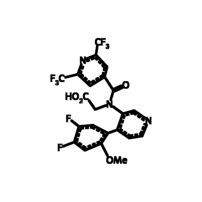 COc1cc(F)c(F)cc1-c1ccncc1N(CC(=O)O)C(=O)c1cc(C(F)(F)F)nc(C(F)(F)F)c1